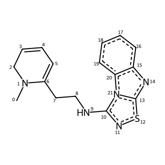 CN1CC=CC=C1CCNc1nsc2nc3ccccc3n12